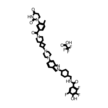 Cc1ccc(C(=O)N2CCC3(CC2)CC(N2CCN(c4ccc5cn(C6CCC(CNC(=O)c7cc(F)c(O)c(F)c7F)CC6)nc5c4)CC2)C3)cc1N1CCC(=O)NC1=O.O=C(O)C(F)(F)F